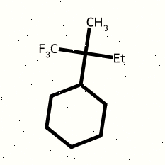 CCC(C)(C1CCCCC1)C(F)(F)F